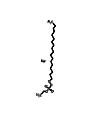 CCCCCCCCCCCCCCCCCCOOP(=O)([O-])OCC.[Na+]